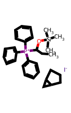 C1CC2CC2C1.CCC(O[Si](C)(C)C)[P+](c1ccccc1)(c1ccccc1)c1ccccc1.[I-]